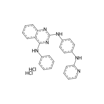 Cl.Cl.c1ccc(Nc2nc(Nc3ccc(Nc4ccccn4)cc3)nc3ccccc23)cc1